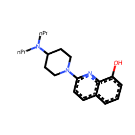 CCCN(CCC)C1CCN(c2ccc3cccc(O)c3n2)CC1